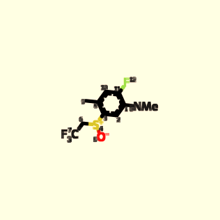 CNc1cc([S+]([O-])CC(F)(F)F)c(C)cc1F